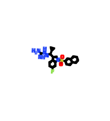 N=C(N)NN=C(c1cn(S(=O)(=O)c2ccc3ccccc3c2)c2cc(F)ccc12)C1CC1